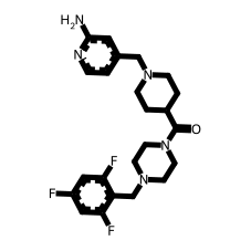 Nc1cc(CN2CCC(C(=O)N3CCN(Cc4c(F)cc(F)cc4F)CC3)CC2)ccn1